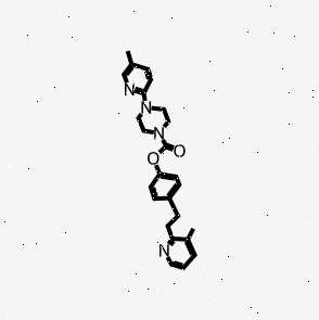 Cc1ccc(N2CCN(C(=O)Oc3ccc(CCc4ncccc4C)cc3)CC2)nc1